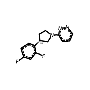 Fc1ccc([C@H]2CCN(c3cccnn3)C2)c(F)c1